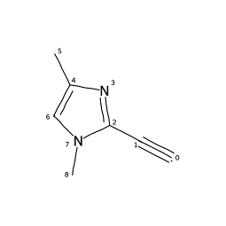 [C]#Cc1nc(C)cn1C